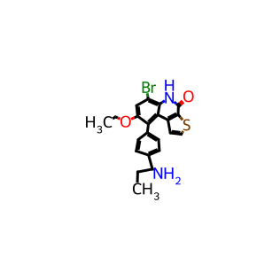 CCOc1cc(Br)c2[nH]c(=O)c3sccc3c2c1-c1ccc([C@H](N)CC)cc1